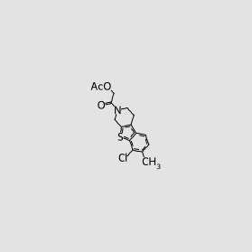 CC(=O)OCC(=O)N1CCc2c(sc3c(Cl)c(C)ccc23)C1